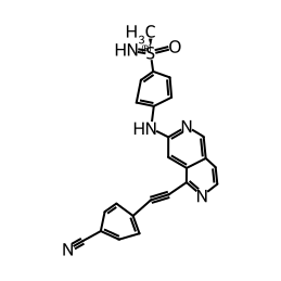 C[S@@](=N)(=O)c1ccc(Nc2cc3c(C#Cc4ccc(C#N)cc4)nccc3cn2)cc1